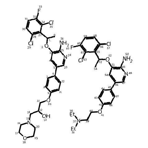 CC(Oc1cc(-c2ccc(OCC(O)CN3CCOCC3)cc2)cnc1N)c1c(Cl)ccc(F)c1Cl.CCN(CC)CCOc1ccc(-c2cnc(N)c(OC(C)c3c(Cl)ccc(F)c3Cl)c2)cc1